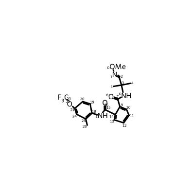 CON=CC(C)(C)NC(=O)c1ccccc1C(=O)Nc1ccc(OC(F)(F)F)cc1C